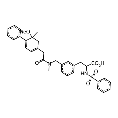 COC1(C)CC(CC(=O)N(C)Cc2cccc(CC(NS(=O)(=O)c3ccccc3)C(=O)O)c2)=CC=C1c1ccccc1